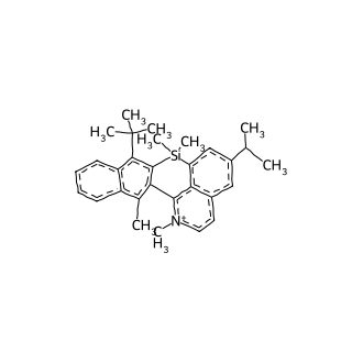 Cc1c2c(c(C(C)(C)C)c3ccccc13)[Si](C)(C)c1cc(C(C)C)cc3cc[n+](C)c-2c13